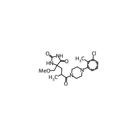 COCC1(CC(C)C(=O)N2CCN(c3cccc(Cl)c3C)CC2)NC(=O)NC1=O